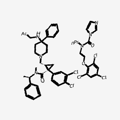 CC(=O)CNC1(c2ccccc2)CCN(C[C@@H]2C[C@@]2(C(=O)N(C)[C@H](C)c2ccccc2)c2ccc(Cl)c(Cl)c2)CC1.CCCN(CCOc1c(Cl)cc(Cl)cc1Cl)C(=O)n1ccnc1